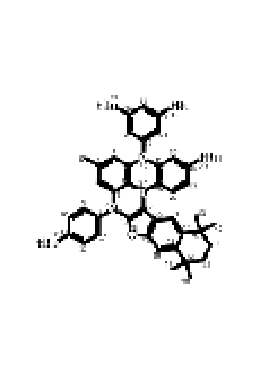 Cc1cc2c3c(c1)N(c1ccc(C(C)(C)C)cc1)c1oc4cc5c(cc4c1B3c1ccc(C(C)(C)C)cc1N2c1cc(C(C)(C)C)cc(C(C)(C)C)c1)C(C)(C)CCC5(C)C